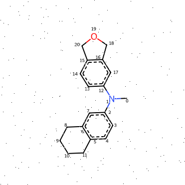 CN(c1ccc2c(c1)CCCC2)c1ccc2c(c1)COC2